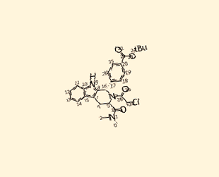 CN(C)C(=O)[C@H]1Cc2c([nH]c3ccccc23)[C@H](c2ccc(C(=O)OC(C)(C)C)cc2)N1C(=O)CCl